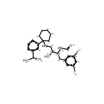 CC(C)c1cccc(C2(NC[C@H](O)[C@H](Cc3cc(F)cc(F)c3)NC=O)CCCCC2)c1